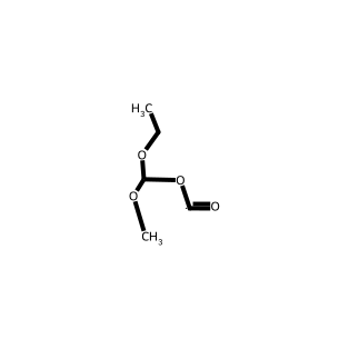 CCOC(OC)O[C]=O